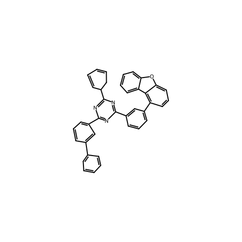 C1=CCC(c2nc(-c3cccc(-c4ccccc4)c3)nc(-c3cccc(-c4cccc5oc6ccccc6c45)c3)n2)C=C1